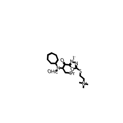 CC(C)CC(C(=O)c1nnc(SCC[N+](C)(C)C)o1)N(C=O)C1CCCCCC1.[I-]